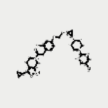 O=C(Cc1ccc(OCC[C@@H]2C[C@@H]2C2CCN(c3ncc(Cl)cn3)CC2)cc1F)N1CCc2c(C3CC3)n[nH]c2C1